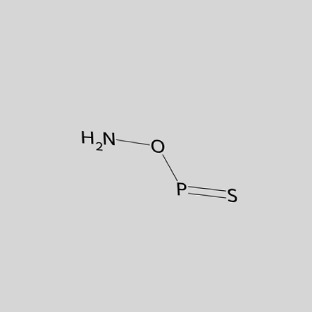 NOP=S